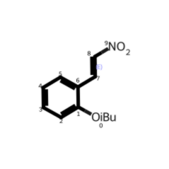 CC(C)COc1ccccc1/C=C/[N+](=O)[O-]